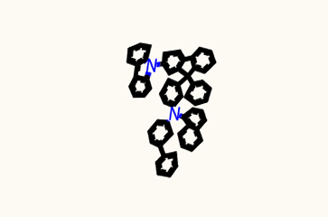 c1ccc(-c2cccc(N(c3cccc(C4(c5ccccc5)c5ccccc5-c5ccc(-n6c7ccccc7c7ccccc76)cc54)c3)c3cccc4ccccc34)c2)cc1